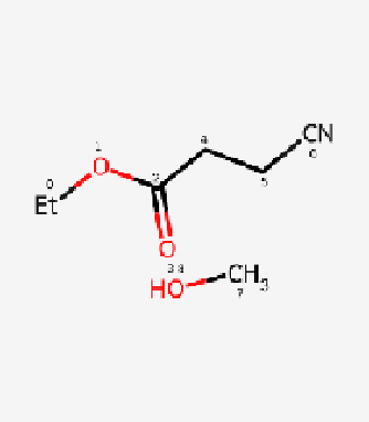 CCOC(=O)CCC#N.CO